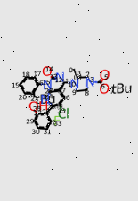 C[C@H]1CN(C(=O)OC(C)(C)C)CCN1c1nc(=O)n(-c2ccccc2C(C)(C)C)c2nc(-c3c(O)cccc3F)c(Cl)cc12